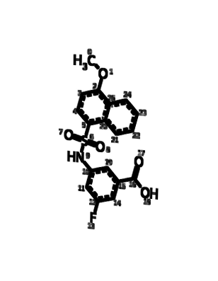 COc1ccc(S(=O)(=O)Nc2cc(F)cc(C(=O)O)c2)c2ccccc12